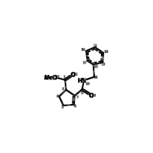 COC(=O)C1CCC=C1C(=O)NCc1ccccc1